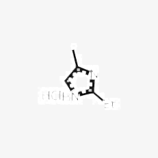 CCc1nc(C)c[nH]1.Cl